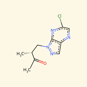 CC(=O)[C@H](C)Cn1ncc2ncc(Cl)nc21